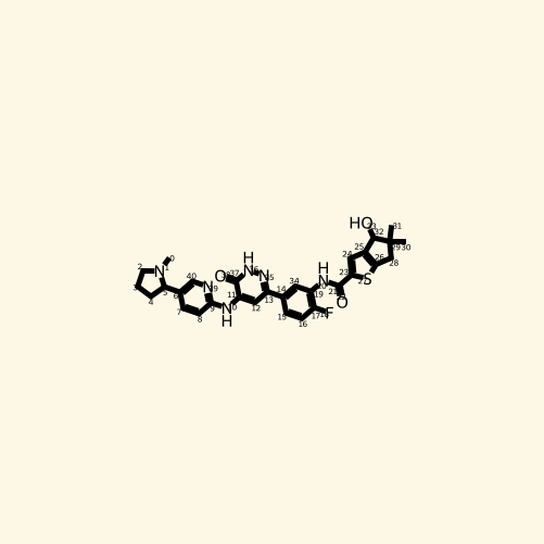 CN1CCCC1c1ccc(Nc2cc(-c3ccc(F)c(NC(=O)c4cc5c(s4)CC(C)(C)C5O)c3)n[nH]c2=O)nc1